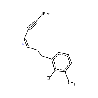 CCCC(C)C#C/C=C\CCc1cccc(C)c1Cl